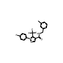 O=C(NCc1cccc(I)c1)c1cnn(-c2ccc(F)cc2)c1C(F)(F)F